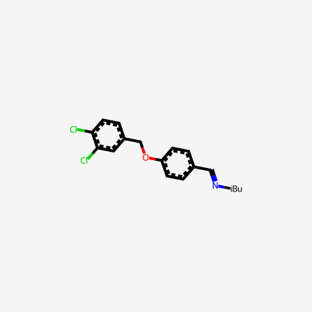 CCC(C)/N=C/c1ccc(OCc2ccc(Cl)c(Cl)c2)cc1